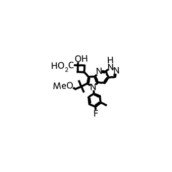 COCC(C)(C)c1c(C2CC(O)(C(=O)O)C2)c2nc3[nH]ncc3cc2n1-c1ccc(F)c(C)c1